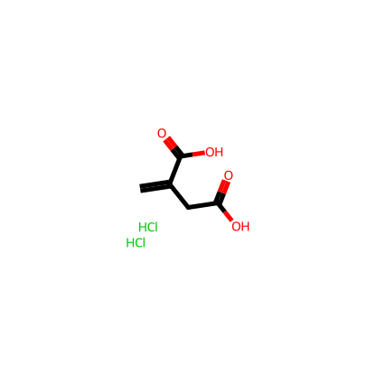 C=C(CC(=O)O)C(=O)O.Cl.Cl